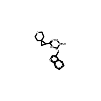 O=C(N[C@@H](Cc1coc2ccccc12)B(O)O)C1CC12CCOCC2